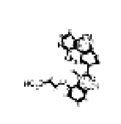 CN(C(=O)c1ccc(Cl)c(-c2c(C#N)ccnc2C(F)(F)F)c1)c1c(C#N)cccc1OCCC(=O)O